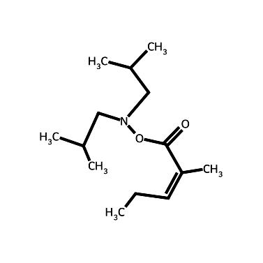 CCC=C(C)C(=O)ON(CC(C)C)CC(C)C